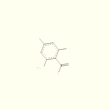 COc1cc(Br)cc(C)c1C(N)=O